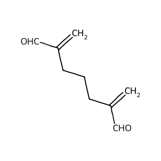 C=C(C=O)CCCC(=C)C=O